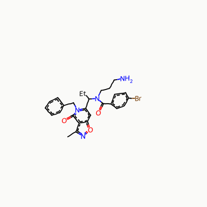 CCC(c1cc2onc(C)c2c(=O)n1Cc1ccccc1)N(CCCN)C(=O)c1ccc(Br)cc1